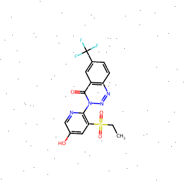 CCS(=O)(=O)c1cc(O)cnc1-n1nnc2ccc(C(F)(F)F)cc2c1=O